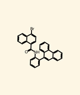 O=C(Nc1ccccc1-c1cc2ccccc2c2ccccc12)c1ccc(Br)c2ccccc12